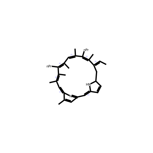 C\C=C1CC2C=C/C(=C/C3=NC(=C/C(C)=C(C)/C(CCC)=C(C)/C=C(C)\C(CCC)=C/1C)\C(C)=C3)N2